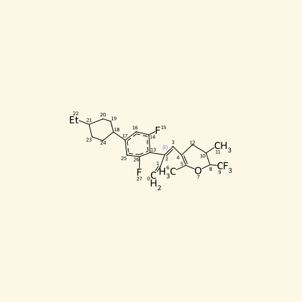 C=C/C(=C\C1=C(C)OC(C(F)(F)F)C(C)C1)c1c(F)cc(C2CCC(CC)CC2)cc1F